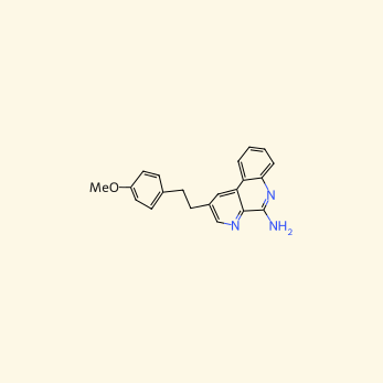 COc1ccc(CCc2cnc3c(N)nc4ccccc4c3c2)cc1